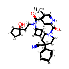 Cc1cnc(C(=O)N2CCC(C#N)(c3ccccc3)CC2)cc1C(=O)N(CCC1(O)CCCC1)C1CCC1